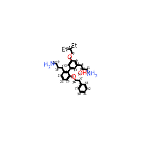 CCC(CC)COc1cc(C[C@H](O)CN)cc(-c2c(CCCN)cccc2OCCc2ccccc2)c1